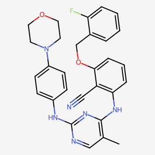 Cc1cnc(Nc2ccc(N3CCOCC3)cc2)nc1Nc1cccc(OCc2ccccc2F)c1C#N